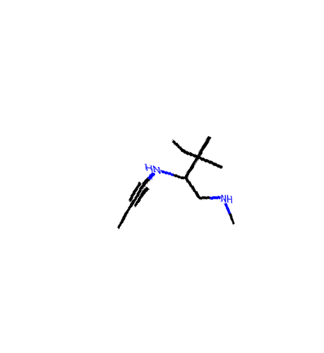 CC#CNC(CNC)C(C)(C)C